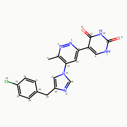 Cc1nnc(-c2c[nH]c(=O)[nH]c2=O)cc1-n1cnc(Cc2ccc(Cl)cc2)c1